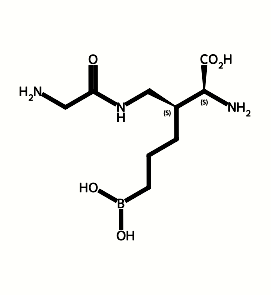 NCC(=O)NC[C@H](CCCB(O)O)[C@H](N)C(=O)O